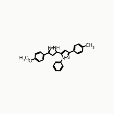 COc1ccc(C2=NNC(c3cc(-c4ccc(C)cc4)nn3-c3ccccc3)C2)cc1